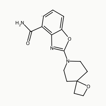 NC(=O)c1[c]ccc2oc(N3CCC4(CCO4)CC3)nc12